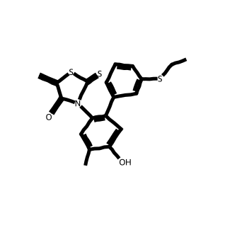 C=C1SC(=S)N(c2cc(C)c(O)cc2-c2cccc(SCC)c2)C1=O